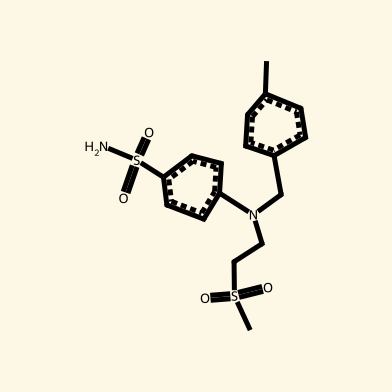 Cc1ccc(CN(CCS(C)(=O)=O)c2ccc(S(N)(=O)=O)cc2)cc1